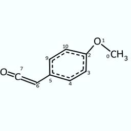 COc1ccc([C]=C=O)cc1